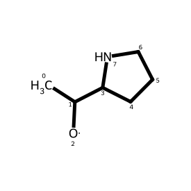 CC([O])C1CCCN1